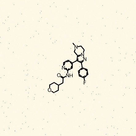 CN1CCn2nc(-c3ccc(F)cc3)c(-c3ccnc(NC(=O)CC4CCOCC4)c3)c2C1